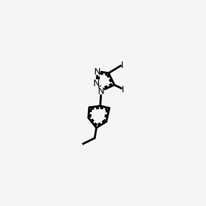 CCc1ccc(-n2nnc(I)c2I)cc1